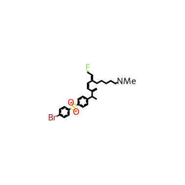 C=C(/C=C\C(=C/CF)CCCCCNC)C(C)c1ccc(S(=O)(=O)c2ccc(Br)cc2)cc1